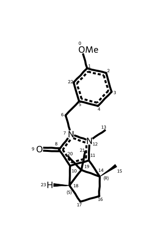 COc1cccc(Cn2c(=O)c3c(n2C)[C@]2(C)CC[C@H]3C2(C)C)c1